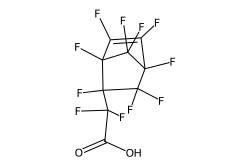 O=C(O)C(F)(F)C1(F)C(F)(F)C2(F)C(F)=C(F)C1(F)C2(F)F